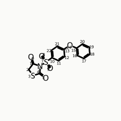 O=C1CSC(=O)N1S(=O)(=O)c1ccc(Oc2ccccc2)cc1